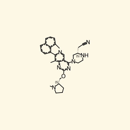 Cc1c(-c2cccc3cccc(C)c23)ncc2c(N3CCN[C@@H](CC#N)C3)nc(OC[C@@H]3CCCN3C)nc12